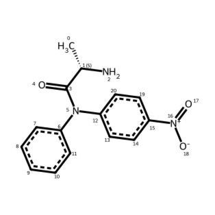 C[C@H](N)C(=O)N(c1ccccc1)c1ccc([N+](=O)[O-])cc1